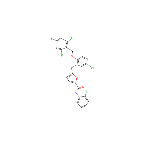 O=C(Nc1c(F)cccc1F)c1ccc(Cc2cc(Cl)ccc2OCc2c(F)cc(F)cc2F)o1